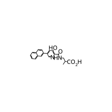 CC(CNC(=O)c1ncc(-c2ccc3ccccc3c2)cc1O)C(=O)O